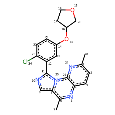 Cc1ccc2nc(C)c3cnc(-c4cc(OC5CCOC5)ccc4Cl)n3c2n1